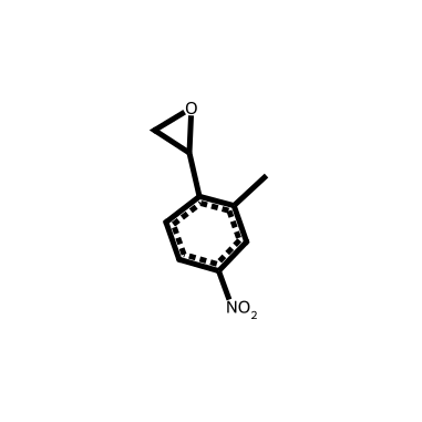 Cc1cc([N+](=O)[O-])ccc1C1CO1